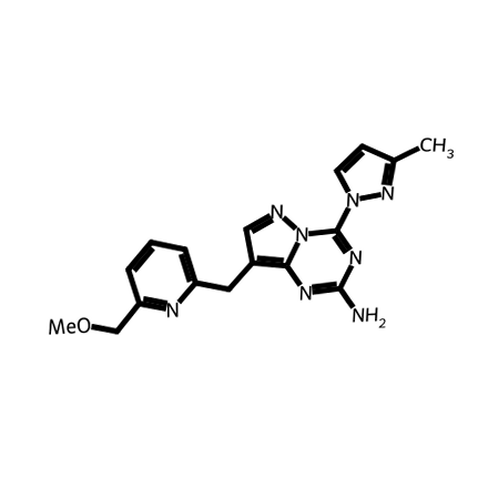 COCc1cccc(Cc2cnn3c(-n4ccc(C)n4)nc(N)nc23)n1